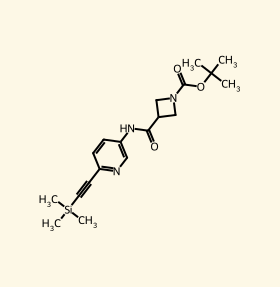 CC(C)(C)OC(=O)N1CC(C(=O)Nc2ccc(C#C[Si](C)(C)C)nc2)C1